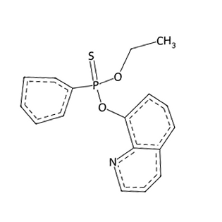 CCOP(=S)(Oc1cccc2cccnc12)c1ccccc1